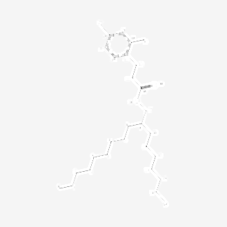 CCCCCCCCCC(CCCCCCC)COC(=O)CCc1ccc(C)cc1C